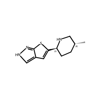 C[C@@H]1CC[C@@H](c2cc3c[nH]nc3s2)NC1